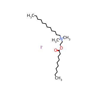 CCCCCCCCCCCC[N+](C)(C)CCOC(=O)CCCCCCCCC.[I-]